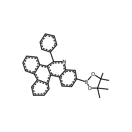 CC1(C)OB(c2ccc3c(c2)nc(-c2ccccc2)c2c4ccccc4c4ccccc4c32)OC1(C)C